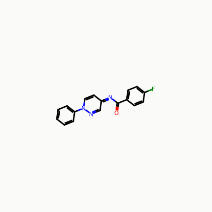 O=C(N=c1ccn(-c2ccccc2)nc1)c1ccc(F)cc1